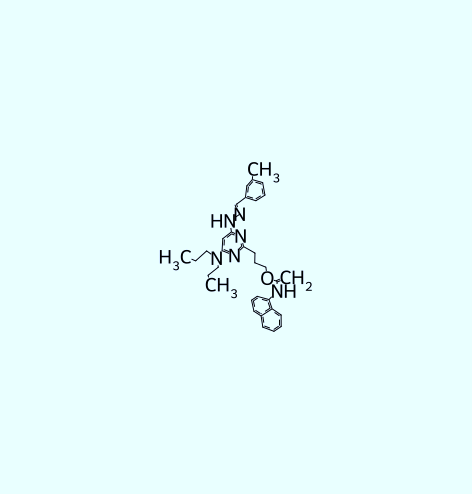 C=C(Nc1cccc2ccccc12)OCCCc1nc(N/N=C/c2cccc(C)c2)cc(N(CCC)CCC)n1